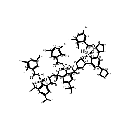 CC(C)c1cc(C(C)C)c(S(=O)(=O)NC(=O)c2cc(I)cc(I)c2I)c(C(C)CCC(C)(C)c2cc(C(C)(C)C)cc(C(C)(C)C3CCC(c4cc(C5CCCC5)cc(C5CCCC5)c4S(=O)(=O)NC(=O)c4cc(I)cc(I)c4I)C3)c2S(=O)(=O)NC(=O)c2cc(I)cc(I)c2I)c1